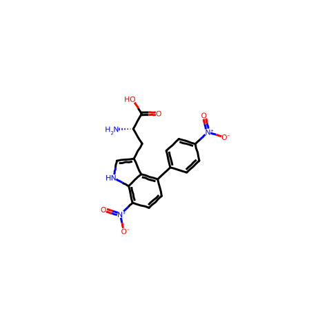 N[C@@H](Cc1c[nH]c2c([N+](=O)[O-])ccc(-c3ccc([N+](=O)[O-])cc3)c12)C(=O)O